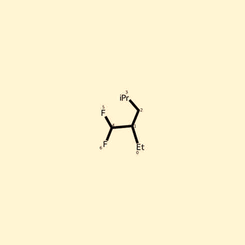 CCC(CC(C)C)C(F)F